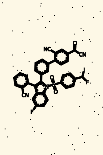 N#CC(=O)c1ccc(-c2cccc(-c3c(-c4ccccc4C#N)c4cc(F)ccc4n3S(=O)(=O)c3ccc(C(F)I)cc3)c2)c(C#N)c1